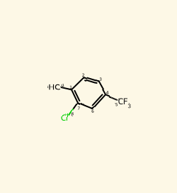 [CH]c1ccc(C(F)(F)F)cc1Cl